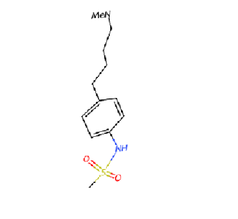 CNCCCCc1ccc(NS(C)(=O)=O)cc1